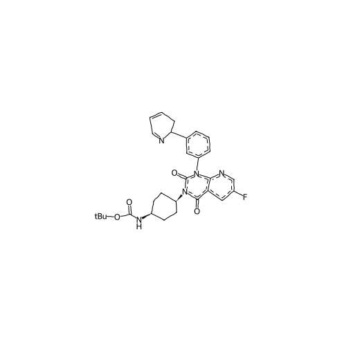 CC(C)(C)OC(=O)N[C@H]1CC[C@@H](n2c(=O)c3cc(F)cnc3n(-c3cccc(C4CC=CC=N4)c3)c2=O)CC1